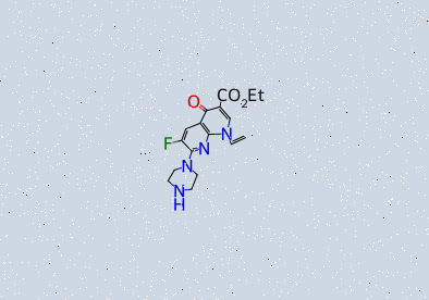 C=Cn1cc(C(=O)OCC)c(=O)c2cc(F)c(N3CCNCC3)nc21